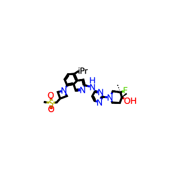 CC(C)c1ccc(N2CC(CS(C)(=O)=O)C2)c2cnc(Nc3ccnc(N4CC[C@@](C)(O)[C@](C)(F)C4)n3)cc12